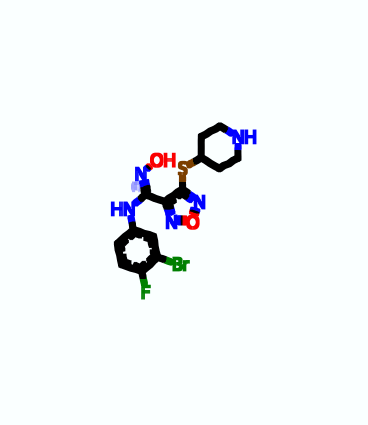 O/N=C(/Nc1ccc(F)c(Br)c1)c1nonc1SC1CCNCC1